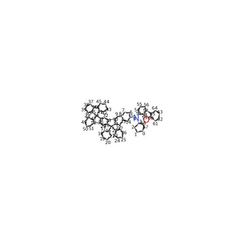 c1ccc(N(c2ccc3cc4c(cc3c2)C(c2ccccc2)(c2ccccc2)c2cc3c(cc2-4)C(c2ccccc2)(c2ccccc2)c2ccccc2-3)c2cccc3c2oc2ccccc23)cc1